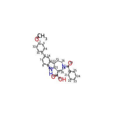 COc1ccc(-c2ccc3[nH]c4c(c3c2)CCN(C(=O)c2ccccc2)C=C4C(=O)O)cc1